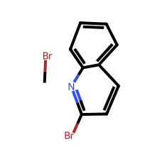 Brc1ccc2ccccc2n1.CBr